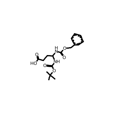 CC(C)(C)OC(=O)NC(CCC(=O)O)NC(=O)OCc1ccccc1